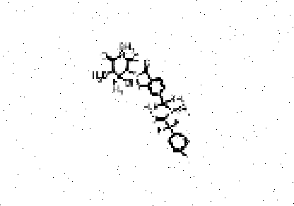 BC1C(=O)N(B)C(=O)C(N2Cc3cc(C(B)(B)N(B)C(=O)C(F)(F)c4ccc(Cl)cc4)ccc3C2=O)C1(B)B